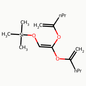 C=C(CCC)OC(=CO[Si](C)(C)C)OC(=C)CCC